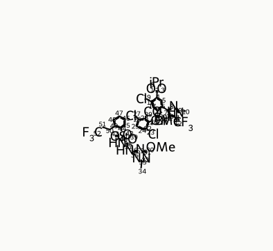 CC(C)OC(=O)c1cc(-c2nn(C)c(C(F)(F)F)c2Br)c(F)cc1Cl.COc1c(Cl)ccc(Cl)c1C(=O)O.COc1nc(C)nc(NC(=O)NS(=O)(=O)c2ccccc2CCC(F)(F)F)n1